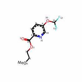 COCCOC(=O)c1ccc(OC(F)F)cn1